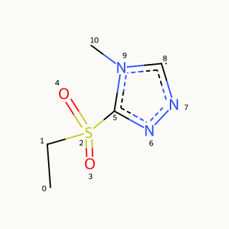 CCS(=O)(=O)c1nn[c]n1C